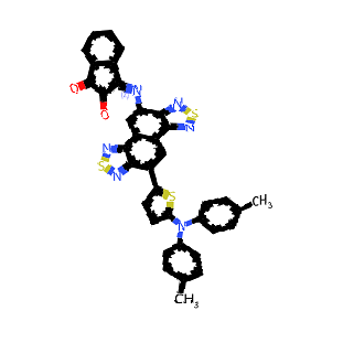 Cc1ccc(N(c2ccc(C)cc2)c2ccc(-c3cc4c(cc(/N=c5\c(=O)c(=O)c6ccccc56)c5nsnc54)c4nsnc34)s2)cc1